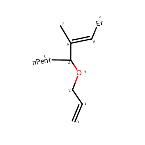 C=CCOC(CCCCC)/C(C)=C/CC